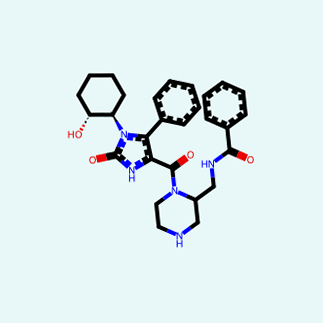 O=C(NCC1CNCCN1C(=O)c1[nH]c(=O)n([C@@H]2CCCC[C@H]2O)c1-c1ccccc1)c1ccccc1